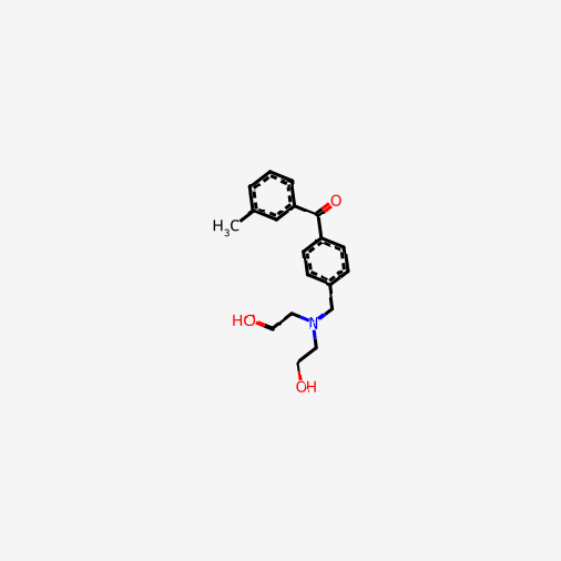 Cc1cccc(C(=O)c2ccc(CN(CCO)CCO)cc2)c1